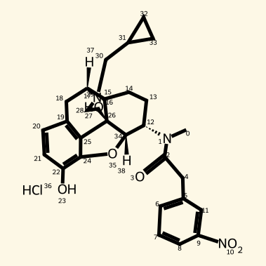 CN(C(=O)Cc1cccc([N+](=O)[O-])c1)[C@H]1CC[C@@]2(O)[C@H]3Cc4ccc(O)c5c4[C@@]2(CCN3CC2CC2)[C@H]1O5.Cl